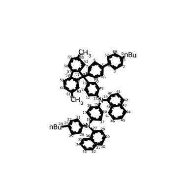 CCCCc1ccc(-c2ccc(C3(c4ccc(N(c5ccc(N(c6ccc(CCCC)cc6)c6cccc7ccccc67)cc5)c5cccc6ccccc56)cc4)c4cc(C)ccc4-c4ccc(C)cc43)cc2)cc1